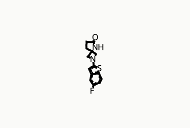 O=C1CCC2(CN(c3cc4cc(F)ccc4s3)C2)N1